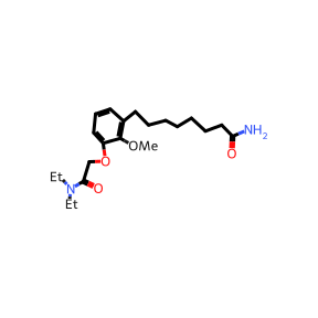 CCN(CC)C(=O)COc1cccc(CCCCCCCC(N)=O)c1OC